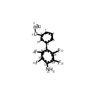 CCCCOc1cccc(-c2c(F)c(F)c(N)c(F)c2F)c1